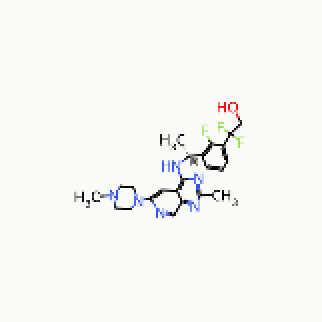 Cc1nc(N[C@H](C)c2cccc(C(F)(F)CO)c2F)c2cc(N3CCN(C)CC3)ncc2n1